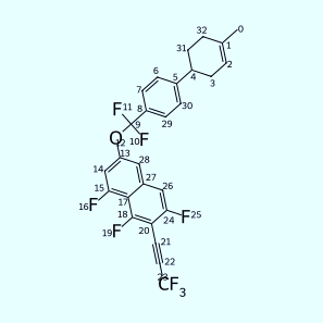 CC1=CCC(c2ccc(C(F)(F)Oc3cc(F)c4c(F)c(C#CC(F)(F)F)c(F)cc4c3)cc2)CC1